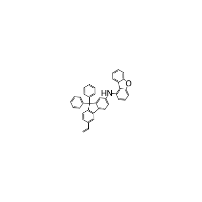 C=Cc1ccc2c(c1)-c1ccc(Nc3cccc4oc5ccccc5c34)cc1C2(c1ccccc1)c1ccccc1